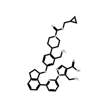 CCc1cc(OC2CCc3cccc(-c4cccc(-n5ncc(C(=O)O)c5CC)n4)c32)ccc1C1CCN(C(=O)OCC2CC2)CC1